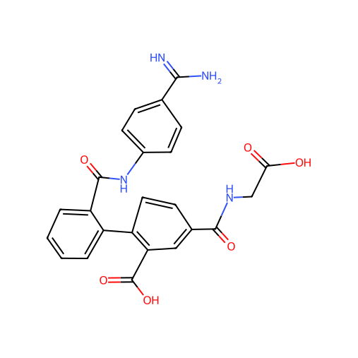 N=C(N)c1ccc(NC(=O)c2ccccc2-c2ccc(C(=O)NCC(=O)O)cc2C(=O)O)cc1